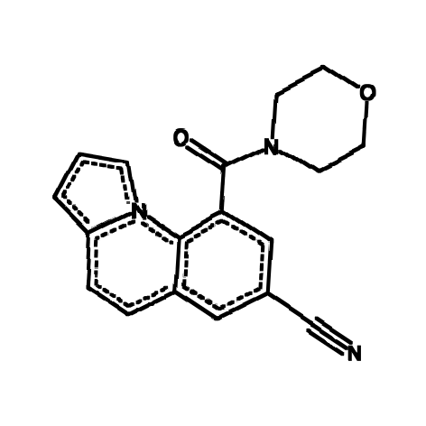 N#Cc1cc(C(=O)N2CCOCC2)c2c(ccc3cccn32)c1